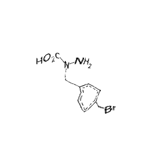 NN(Cc1ccc(Br)cc1)C(=O)O